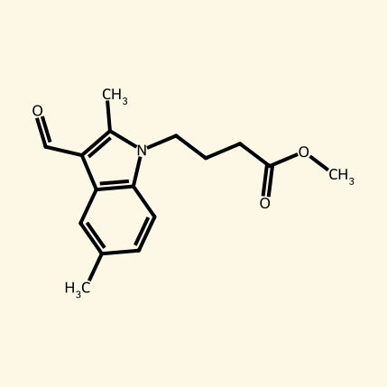 COC(=O)CCCn1c(C)c(C=O)c2cc(C)ccc21